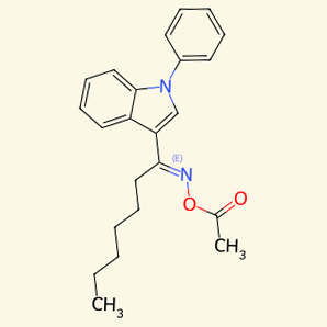 CCCCCC/C(=N\OC(C)=O)c1cn(-c2ccccc2)c2ccccc12